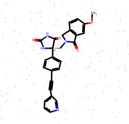 COc1ccc2c(c1)C(=O)N(C[C@]1(c3ccc(C#Cc4cccnc4)cc3)NC(=O)NC1=O)C2